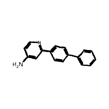 Nc1ccnc(-c2ccc(-c3ccccc3)cc2)c1